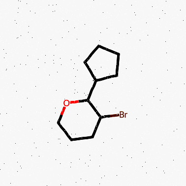 BrC1CCCOC1[C]1CCCC1